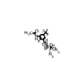 CC(=O)Nc1cc(C(F)(F)F)cc([C@@H](C)N[S@+]([O-])C(C)(C)C)c1F